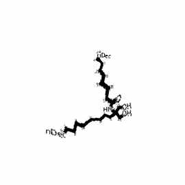 CCCCCCCCCCCCCCCCCCC(CO)(CO)NC(=O)CCCCCCCCCCCCCCCCC